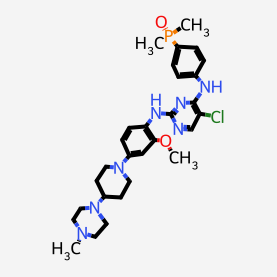 COc1cc(N2CCC(N3CCN(C)CC3)CC2)ccc1Nc1ncc(Cl)c(Nc2ccc(P(C)(C)=O)cc2)n1